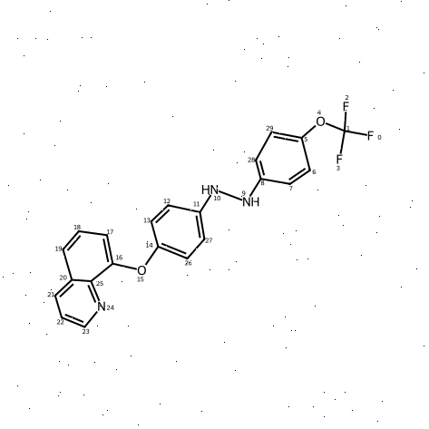 FC(F)(F)Oc1ccc(NNc2ccc(Oc3cccc4cccnc34)cc2)cc1